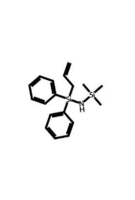 C=CC[Si](N[Si](C)(C)C)(c1ccccc1)c1ccccc1